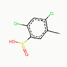 Cc1cc(S(=O)O)c(Cl)cc1Cl